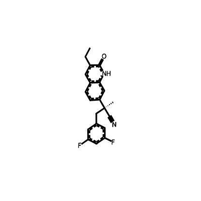 CCc1cc2ccc([C@@](C)(C#N)Cc3cc(F)cc(F)c3)cc2[nH]c1=O